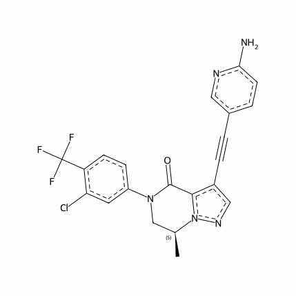 C[C@H]1CN(c2ccc(C(F)(F)F)c(Cl)c2)C(=O)c2c(C#Cc3ccc(N)nc3)cnn21